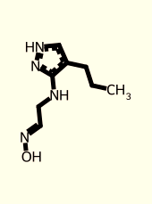 CCCc1c[nH]nc1NCC=NO